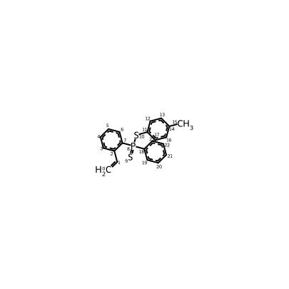 C=Cc1ccccc1P(=S)(Sc1ccc(C)cc1)c1ccccc1